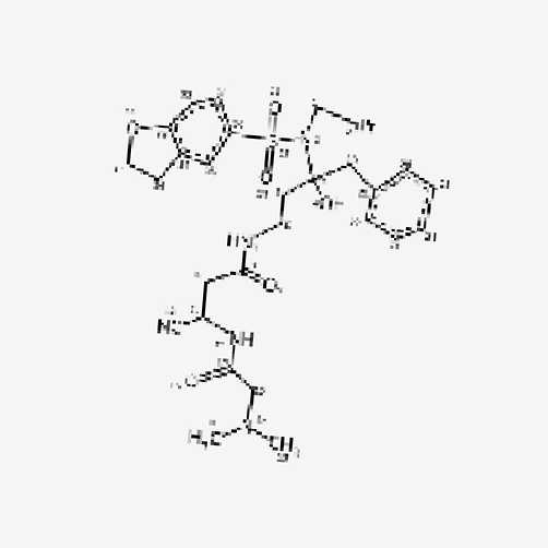 CC(C)CN(C(O)(CCNC(=O)CC(C#N)NC(=O)CN(C)C)Cc1ccccc1)S(=O)(=O)c1ccc2c(c1)CCO2